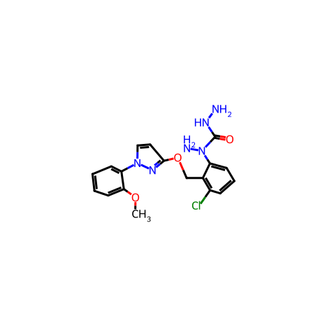 COc1ccccc1-n1ccc(OCc2c(Cl)cccc2N(N)C(=O)NN)n1